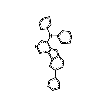 c1ccc(-c2ccc3sc4c(N(c5ccccc5)c5ccccc5)cncc4c3c2)cc1